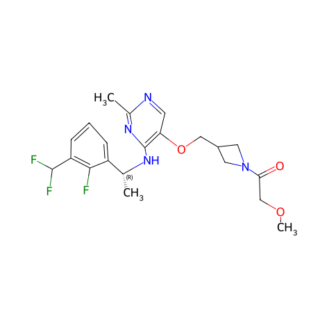 COCC(=O)N1CC(COc2cnc(C)nc2N[C@H](C)c2cccc(C(F)F)c2F)C1